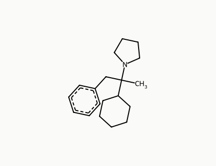 CC(Cc1ccccc1)(C1CCCCC1)N1CCCC1